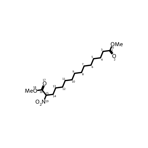 COC(=O)CCCCCCCCCCCCC(C(=O)OC)[N+](=O)[O-]